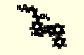 C=N/C=N\C=C(/C)c1cc2c(-c3cc4c(-c5ccccn5)nccc4[nH]3)n[nH]c2cn1